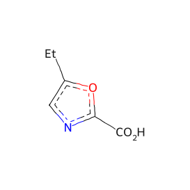 CCc1cnc(C(=O)O)o1